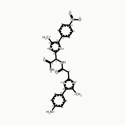 Cc1nc(CC(=O)NC(C(N)=O)c2nc(C)c(-c3ccc([N+](=O)[O-])cc3)s2)sc1-c1ccc(N)cc1